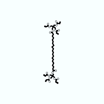 C=CC(=O)OCC(COC(=O)C=C)(COC(=O)C=C)COC(=O)CCCCCCCCCCCCCCCCCCCCC(=O)OCC(COC(=O)C=C)(COC(=O)C=C)COC(=O)C=C